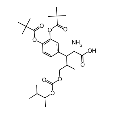 CC(C)C(C)OC(=O)OCC(C)C(c1ccc(OC(=O)C(C)(C)C)c(OC(=O)C(C)(C)C)c1)[C@H](N)C(=O)O